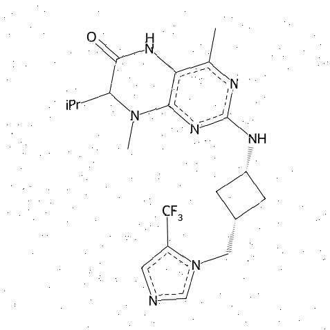 Cc1nc(N[C@H]2C[C@@H](Cn3cncc3C(F)(F)F)C2)nc2c1NC(=O)C(C(C)C)N2C